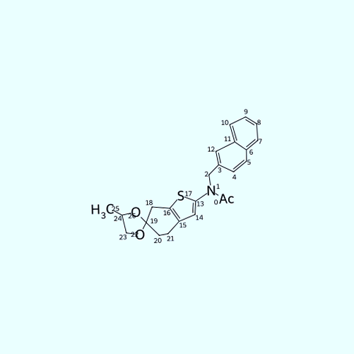 CC(=O)N(Cc1ccc2ccccc2c1)c1cc2c(s1)CC1(CC2)OCC(C)O1